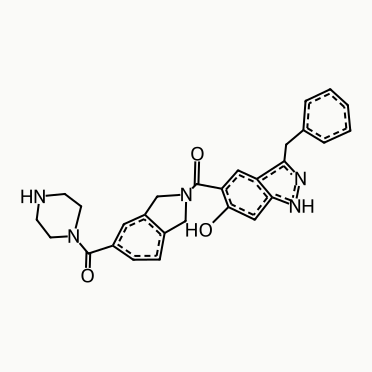 O=C(c1ccc2c(c1)CN(C(=O)c1cc3c(Cc4ccccc4)n[nH]c3cc1O)C2)N1CCNCC1